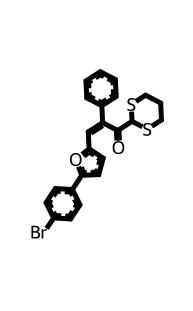 O=C(C(=Cc1ccc(-c2ccc(Br)cc2)o1)c1ccccc1)C1SCCCS1